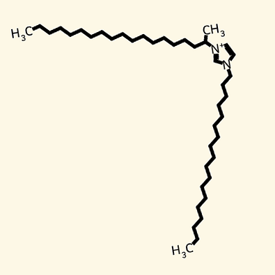 CCCCCCCCCCCCCCCCCCn1cc[n+](C(C)CCCCCCCCCCCCCCCCC)c1